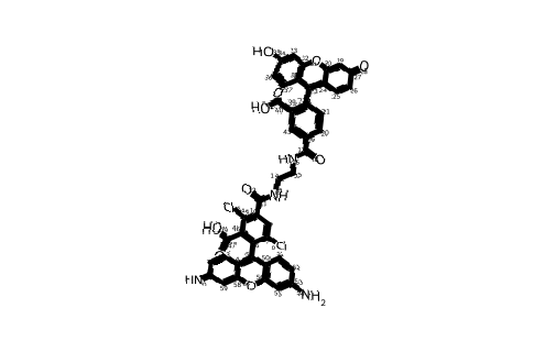 N=c1ccc2c(-c3c(Cl)cc(C(=O)NCCNC(=O)c4ccc(-c5c6ccc(=O)cc-6oc6cc(O)ccc56)c(C(=O)O)c4)c(Cl)c3C(=O)O)c3ccc(N)cc3oc-2c1